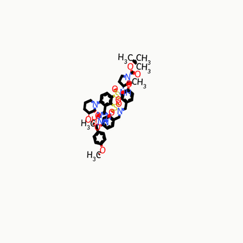 COc1ccc(CN(Cc2ccc(OC)cc2)S(=O)(=O)c2c(S(=O)(=O)N[C@@H]3CCN(C(=O)OC(C)(C)C)C3)ccc(N3CCC[C@@H](O)C3=O)c2-c2nnn(Cc3ccc(OC)cc3)n2)cc1